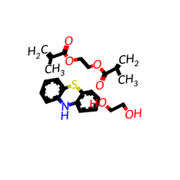 C=C(C)C(=O)OCCOC(=O)C(=C)C.OCCO.c1ccc2c(c1)Nc1ccccc1S2